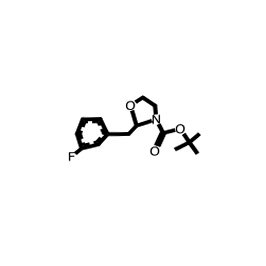 CC(C)(C)OC(=O)N1CCOC1Cc1cccc(F)c1